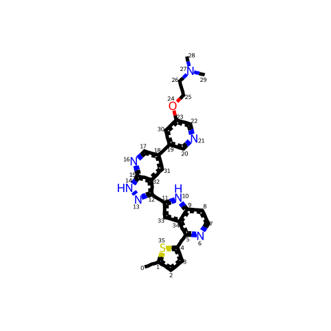 Cc1ccc(-c2nccc3[nH]c(-c4n[nH]c5ncc(-c6cncc(OCCN(C)C)c6)cc45)cc23)s1